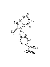 COC(=O)c1ccc(C(C)[C@@]2(C)C(=O)Nc3ncccc32)cc1